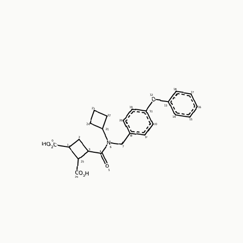 O=C(O)C1CC(C(=O)N(Cc2ccc(Oc3ccccc3)cc2)C2CCC2)C1C(=O)O